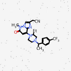 CCC1CN(C(C)c2ccc(C(F)(F)F)cc2)CCN1c1cc(=O)n(C)n2cc(CC#N)nc12